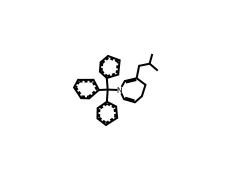 CC(C)CC1=CN(C(c2ccccc2)(c2ccccc2)c2ccccc2)C=CCC1